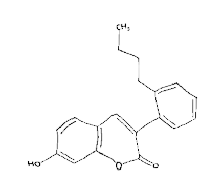 CCCCc1ccccc1-c1cc2ccc(O)cc2oc1=O